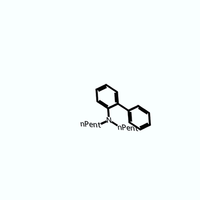 CCCCCN(CCCCC)c1ccccc1-c1ccccc1